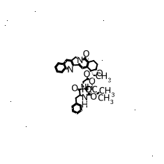 CC[C@@]1(OC(=O)CNC(=O)C(Cc2ccccc2)NC(=O)OC(C)(C)C)C(=O)CCc2c1cc1n(c2=O)Cc2cc3ccccc3nc2-1